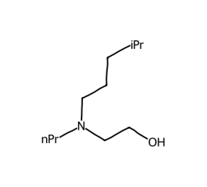 CCCN(CCO)CCCC(C)C